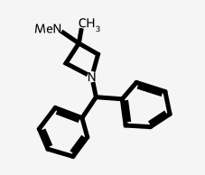 CNC1(C)CN(C(c2ccccc2)c2ccccc2)C1